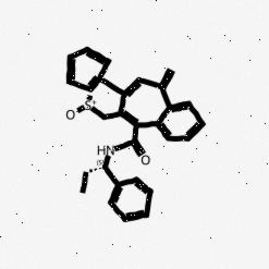 C=C1C=C(c2ccccc2)C(C[S+](C)[O-])=C(C(=O)N[C@@H](CC)c2ccccc2)c2ccccc21